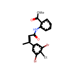 CCc1c(Br)cc(/C(C)=C\C(=O)Nc2ccccc2C(=O)OC)cc1Br